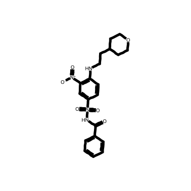 O=C(NS(=O)(=O)c1ccc(NCCC2CCOCC2)c([N+](=O)[O-])c1)c1ccccc1